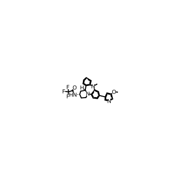 COc1cncc(-c2ccc3c(c2)N(C)c2ccccc2[C@H]2C[C@@H](NC(=O)C(F)(F)F)CCN32)c1